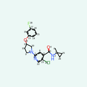 CC1(NC(=O)c2cc(N3CCC(Oc4cccc(F)c4)C3)ncc2Cl)CC1